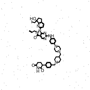 C=CCn1c(=O)c2cnc(Nc3ccc(N4CCN(CC5CCN(Cc6ccc(C7CCC(=O)NC7=O)cc6)CC5)CC4)cc3)nc2n1-c1ccc2c(n1)[C@@](O)(CI)CC2